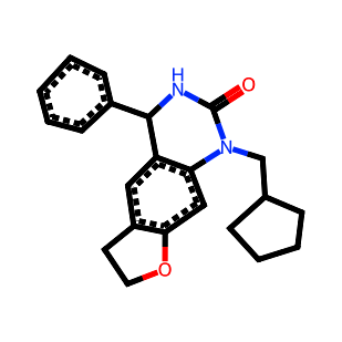 O=C1NC(c2ccccc2)c2cc3c(cc2N1CC1CCCC1)OCC3